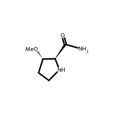 CO[C@H]1CCN[C@@H]1C(N)=O